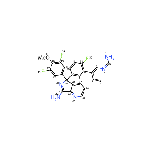 C=C/C(=C\N=C/N)c1cc(C2(c3cc(F)c(OC)c(F)c3)N=C(N)c3ncccc32)ccc1F